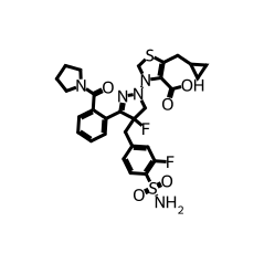 NS(=O)(=O)c1ccc(CC2(F)CN(N3CSC(CC4CC4)=C3C(=O)O)N=C2c2ccccc2C(=O)N2CCCC2)cc1F